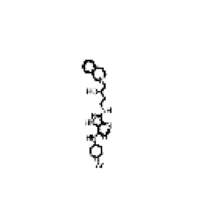 CC(=O)N1CCC(Nc2ncnc3c(NCC[C@@H](O)CN4CCc5ccccc5C4)n[nH]c23)CC1